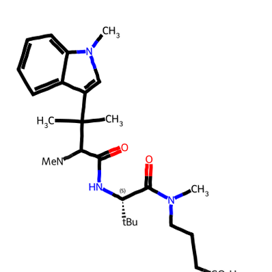 CNC(C(=O)N[C@H](C(=O)N(C)CCCC(=O)O)C(C)(C)C)C(C)(C)c1cn(C)c2ccccc12